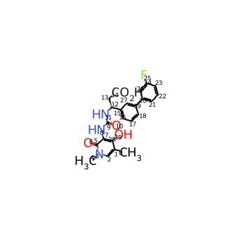 Cc1cn(C)c(=O)c(NC(=O)N[C@@H](CC(=O)O)c2cccc(-c3cccc(F)c3)c2)c1O